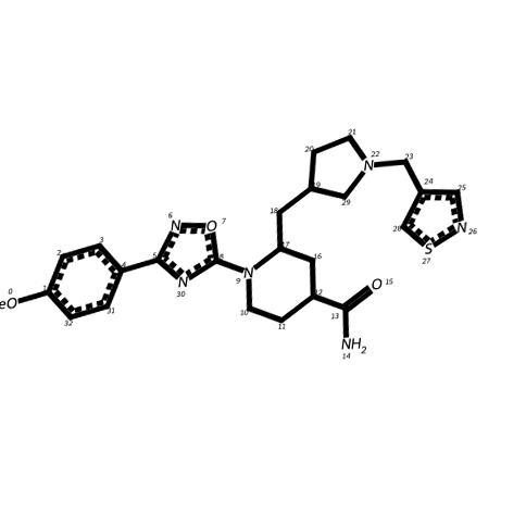 COc1ccc(-c2noc(N3CCC(C(N)=O)CC3CC3CCN(Cc4cnsc4)C3)n2)cc1